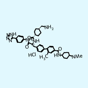 CNC1CCC(NC(=O)c2ccc(-c3ccc(C[C@H](NC(=O)[C@H]4CC[C@H](CN)CC4)C(=O)Nc4ccc(-c5nnn[nH]5)cc4)cc3)c(C)c2)CC1.Cl